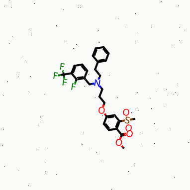 COC(=O)c1ccc(OCCCN(CCc2ccccc2)Cc2cccc(C(F)(F)F)c2F)cc1S(C)(=O)=O